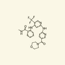 CNC(=O)c1ccccc1Nc1cc(Nc2ccc(C(=O)N3CCOCC3)cn2)ncc1C(F)(F)F